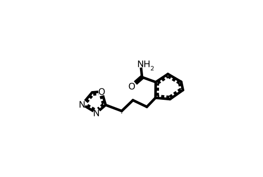 NC(=O)c1ccccc1CC[CH]c1nnco1